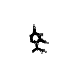 CC(N)n1ccc(=O)[nH]c1=O